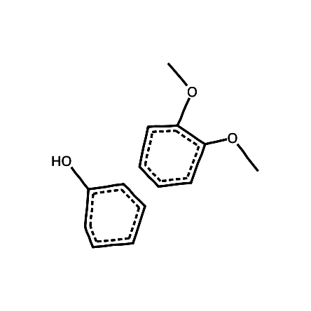 COc1ccccc1OC.Oc1ccccc1